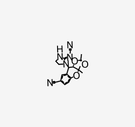 CC(=O)O[C@@H]1[C@@H](N2CCN/C2=N\C#N)c2cc(C#N)ccc2OC1(C)C